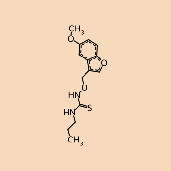 CCCNC(=S)NOCc1coc2ccc(OC)cc12